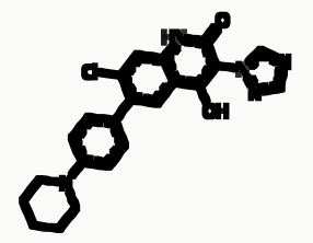 O=c1[nH]c2cc(Cl)c(-c3ccc(N4CCCCC4)cc3)cc2c(O)c1-n1cncn1